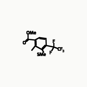 COC(=O)c1ccc(C(F)(F)C(F)(F)F)c(SC)c1C